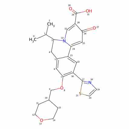 CC(C)C1Cc2cc(OCC3CCOCC3)c(-c3nccs3)cc2-c2cc(=O)c(C(=O)O)cn21